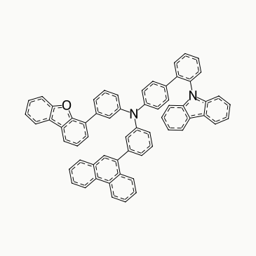 c1cc(-c2cc3ccccc3c3ccccc23)cc(N(c2ccc(-c3ccccc3-n3c4ccccc4c4ccccc43)cc2)c2cccc(-c3cccc4c3oc3ccccc34)c2)c1